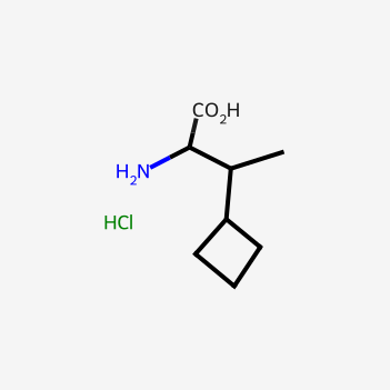 CC(C1CCC1)C(N)C(=O)O.Cl